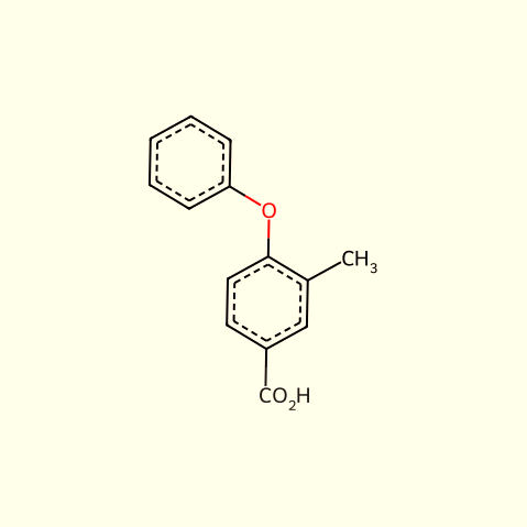 Cc1cc(C(=O)O)ccc1Oc1ccccc1